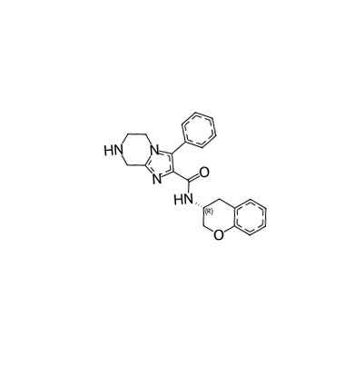 O=C(N[C@H]1COc2ccccc2C1)c1nc2n(c1-c1ccccc1)CCNC2